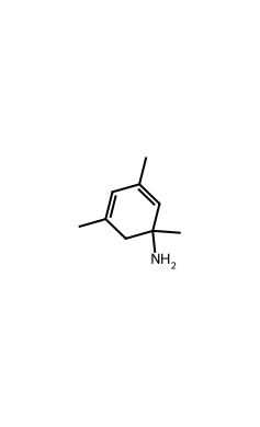 CC1=CC(C)(N)CC(C)=C1